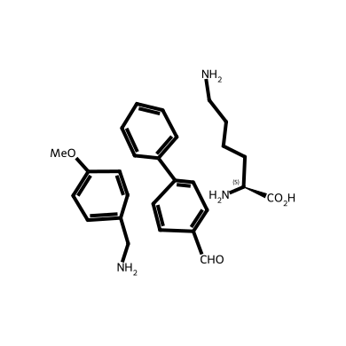 COc1ccc(CN)cc1.NCCCC[C@H](N)C(=O)O.O=Cc1ccc(-c2ccccc2)cc1